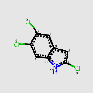 Clc1cc2cc(Cl)c(Cl)cc2[nH]1